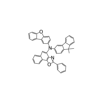 CC1(C)c2ccccc2-c2cc(N(c3ccc4oc5ccccc5c4c3)c3cc4ccccc4c4oc(-c5ccccc5)nc34)ccc21